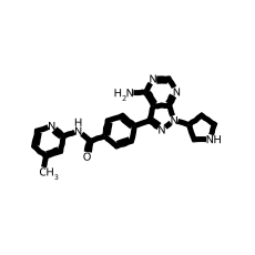 Cc1ccnc(NC(=O)c2ccc(-c3nn(C4CCNC4)c4ncnc(N)c34)cc2)c1